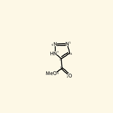 COC(=O)c1[c]nn[nH]1